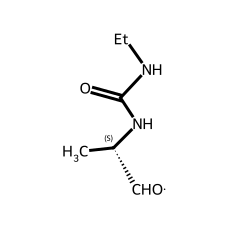 CCNC(=O)N[C@@H](C)[C]=O